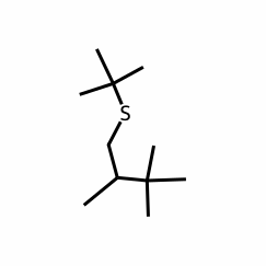 CC(CSC(C)(C)C)C(C)(C)C